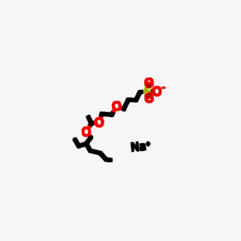 CCCCC(CC)COC(C)OCCOCCCCS(=O)(=O)[O-].[Na+]